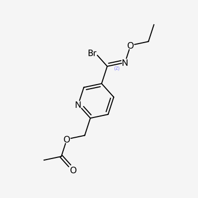 CCO/N=C(\Br)c1ccc(COC(C)=O)nc1